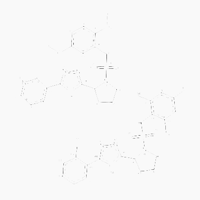 COc1ccc(OC)c(CS(=O)(=O)N2CCCC2c2nnc(-c3cccnc3)o2)c1.Cc1cc(C)c(CS(=O)(=O)N2CCCC2c2nnc(-c3ccccc3F)o2)c(C)c1